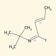 C/C=C/C(I)=N\C(C)(C)C